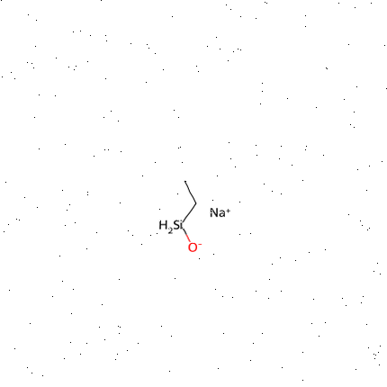 CC[SiH2][O-].[Na+]